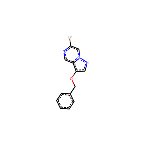 Brc1cn2ncc(OCc3ccccc3)c2cn1